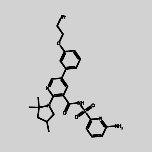 CC(C)CCOc1cccc(-c2cnc(N3CC(C)CC3(C)C)c(C(=O)NS(=O)(=O)c3cccc(N)n3)c2)c1